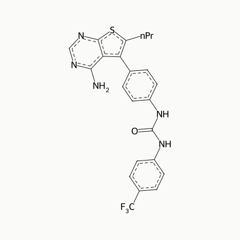 CCCc1sc2ncnc(N)c2c1-c1ccc(NC(=O)Nc2ccc(C(F)(F)F)cc2)cc1